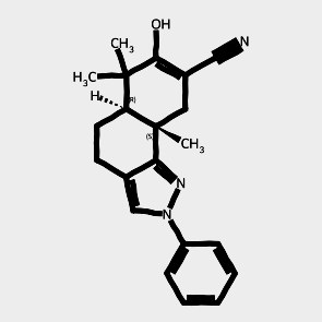 CC1(C)C(O)=C(C#N)C[C@]2(C)c3nn(-c4ccccc4)cc3CC[C@@H]12